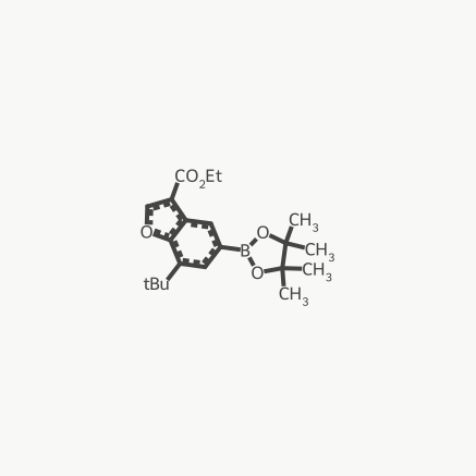 CCOC(=O)c1coc2c(C(C)(C)C)cc(B3OC(C)(C)C(C)(C)O3)cc12